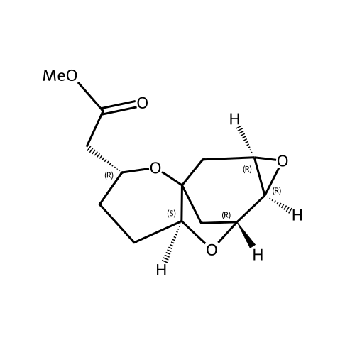 COC(=O)C[C@H]1CC[C@@H]2O[C@@H]3CC2(C[C@H]2O[C@H]23)O1